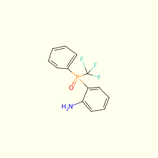 Nc1ccccc1P(=O)(c1ccccc1)C(F)(F)F